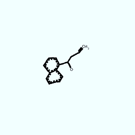 C=CCC([O])c1cccc2ccccc12